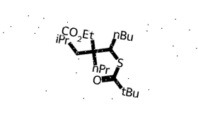 CCCCC(SC(=O)C(C)(C)C)C(CCC)(CC(C)C)C(=O)OCC